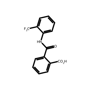 O=C(O)c1ccccc1C(=O)Nc1ccccc1C(F)(F)F